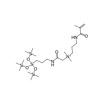 C=C(C)C(=O)NCCC[N+](C)(C)CC(=O)NCCC[Si](O[Si](C)(C)C)(O[Si](C)(C)C)O[Si](C)(C)C